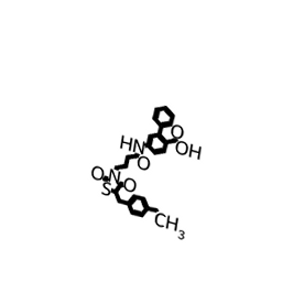 CCc1ccc(CC2SC(=O)N(CCCC(=O)Nc3ccc(C(=O)O)c(-c4ccccc4)c3)C2=O)cc1